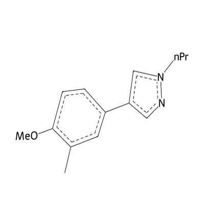 CCCn1cc(-c2ccc(OC)c(C)c2)cn1